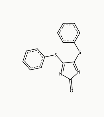 O=C1N=C(Sc2ccccc2)C(Sc2ccccc2)=N1